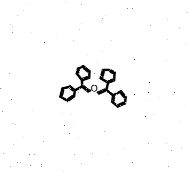 C(OC=C(c1ccccc1)c1ccccc1)=C(c1ccccc1)c1ccccc1